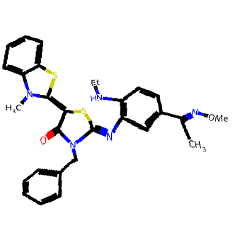 CCNc1ccc(/C(C)=N/OC)cc1/N=C1\S/C(=C2\Sc3ccccc3N2C)C(=O)N1Cc1ccccc1